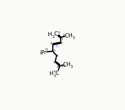 C=C(C)/C=C/C(CC=C(C)C)C(C)C